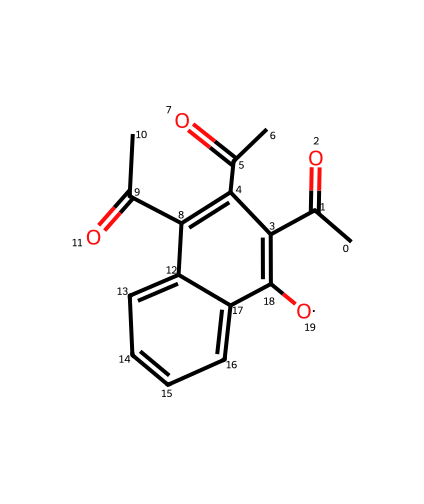 CC(=O)c1c(C(C)=O)c(C(C)=O)c2ccccc2c1[O]